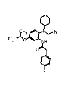 CC(C)CN(c1ccc(OC(C)C(=O)O)cc1NC(=O)Cc1ccc(F)cc1)C1CCCCC1